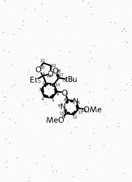 CCC1(c2cccc(Oc3nc(OC)cc(OC)n3)c2C(=O)C(C)(C)C)OCCO1